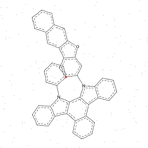 c1ccc(-n2c3ccccc3c3c4ccccc4c4c5ccccc5n(-c5ccc6c(c5)oc5cc7ccccc7cc56)c4c32)cc1